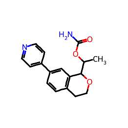 CC(OC(N)=O)C1OCCc2ccc(-c3ccncc3)cc21